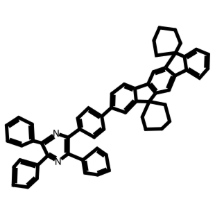 c1ccc(-c2nc(-c3ccccc3)c(-c3ccc(-c4ccc5c(c4)C4(CCCCC4)c4cc6c(cc4-5)C4(CCCCC4)c4ccccc4-6)cc3)nc2-c2ccccc2)cc1